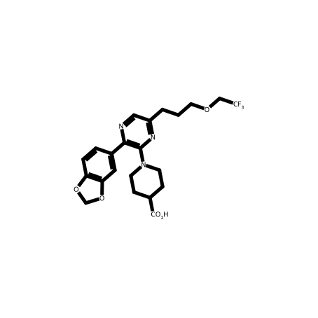 O=C(O)C1CCN(c2nc(CCCOCC(F)(F)F)cnc2-c2ccc3c(c2)OCO3)CC1